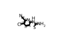 N#Cc1nc(NC(N)=S)ccc1Cl